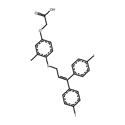 Cc1cc(OCC(=O)O)ccc1SCC=C(c1ccc(I)cc1)c1ccc(I)cc1